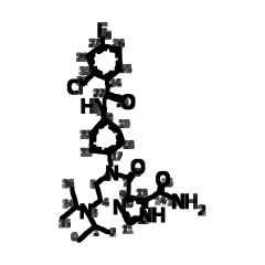 CC(C)N(CCN(C(=O)c1nc[nH]c1C(N)=O)c1ccc(NC(=O)c2ccc(F)cc2Cl)cc1)C(C)C